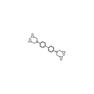 c1cc(N(CC2CO2)CC2CO2)ccc1-c1ccc(N(CC2CO2)CC2CO2)cc1